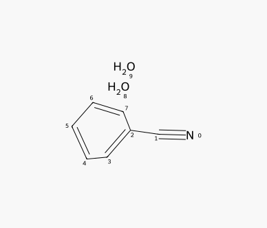 N#Cc1ccccc1.O.O